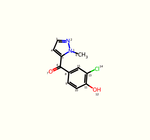 Cn1nccc1C(=O)c1ccc(O)c(Cl)c1